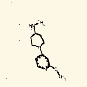 CNC1CCN(c2ccnc(OC)c2)CC1